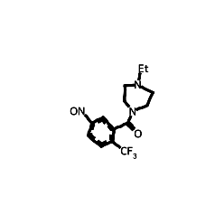 CCN1CCN(C(=O)c2cc(N=O)ccc2C(F)(F)F)CC1